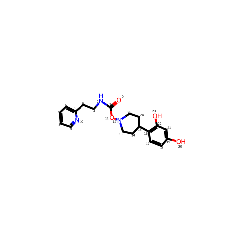 O=C(NCCc1ccccn1)ON1CCC(c2ccc(O)cc2O)CC1